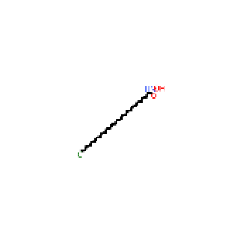 O=C(CCCCCCCCCCCCCCCCCCCCCCCCCCCCl)NO